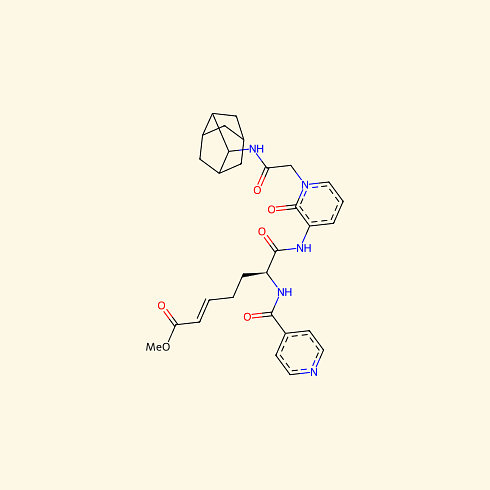 COC(=O)/C=C/CC[C@H](NC(=O)c1ccncc1)C(=O)Nc1cccn(CC(=O)NC2C3CC4CC(C3)C2C4)c1=O